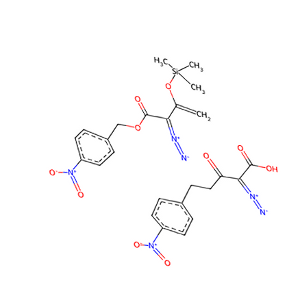 C=C(O[Si](C)(C)C)C(=[N+]=[N-])C(=O)OCc1ccc([N+](=O)[O-])cc1.[N-]=[N+]=C(C(=O)O)C(=O)CCc1ccc([N+](=O)[O-])cc1